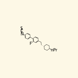 CCC[C@H]1CC[C@H](CCc2ccc(-c3ccc(N=C=S)cc3)c(F)c2)CC1